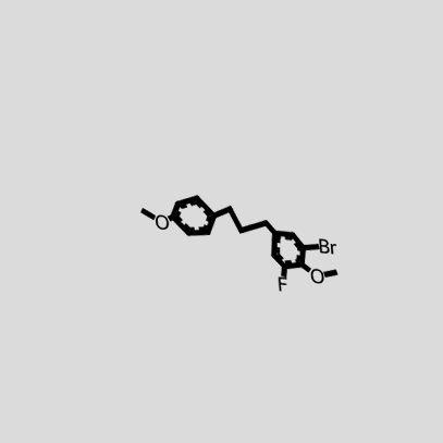 COc1ccc(CCCc2cc(F)c(OC)c(Br)c2)cc1